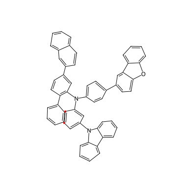 c1ccc(-c2ccc(-c3ccc4ccccc4c3)cc2N(c2ccc(-c3ccc4oc5ccccc5c4c3)cc2)c2cccc(-n3c4ccccc4c4ccccc43)c2)cc1